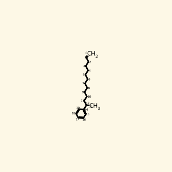 C=CCCCCCCCCCCC(C)c1ccccc1